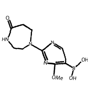 COc1nc(N2CCNC(=O)CC2)ncc1B(O)O